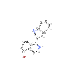 Brc1cccc2c(-c3cnc4ccccc4c3)nccc12